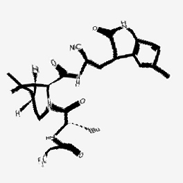 Cc1ccc2c(c1)C(CC(C#N)NC(=O)[C@@H]1[C@@H]3[C@H](CN1C(=O)[C@@H](NC(=O)C(F)(F)F)C(C)(C)C)C3(C)C)C(=O)N2